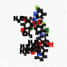 COc1ccc(CN(c2cccc(F)n2)S(=O)(=O)c2c(F)cc(N3CC[C@@](OC)(C(O)CCC4CCCN4C(=O)OC(C)(C)C)C3)c(Cl)c2F)c(OC)c1